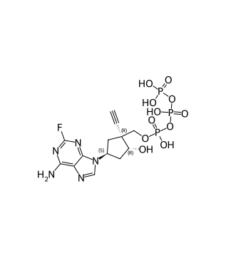 C#C[C@@]1(COP(=O)(O)OP(=O)(O)OP(=O)(O)O)C[C@H](n2cnc3c(N)nc(F)nc32)C[C@H]1O